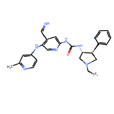 Cc1cc(Nc2cnc(NC(=O)N[C@H]3CN(CC(F)(F)F)C[C@@H]3c3ccccc3)cc2C=N)ccn1